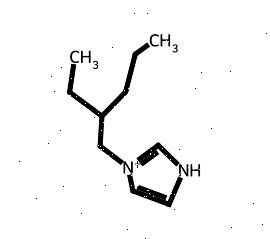 CCCC(CC)C[n+]1cc[nH]c1